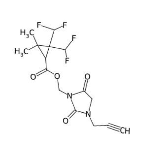 C#CCN1CC(=O)N(COC(=O)C2C(C)(C)C2(C(F)F)C(F)F)C1=O